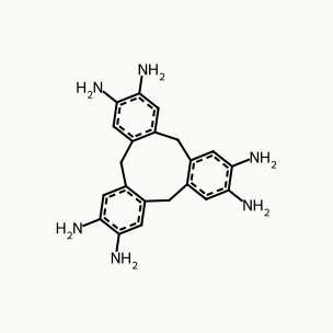 Nc1cc2c(cc1N)Cc1cc(N)c(N)cc1Cc1cc(N)c(N)cc1C2